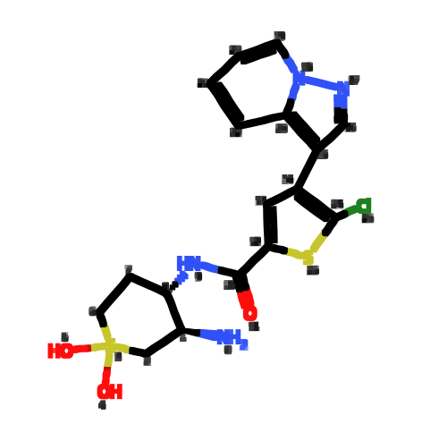 N[C@H]1CS(O)(O)CC[C@@H]1NC(=O)c1cc(-c2cnn3ccccc23)c(Cl)s1